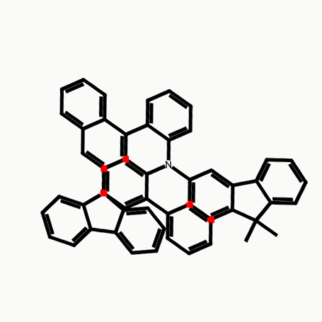 CC1(C)c2ccccc2-c2cc(N(c3ccccc3-c3ccccc3)c3ccccc3-c3cc(-n4c5ccccc5c5ccccc54)cc4ccccc34)ccc21